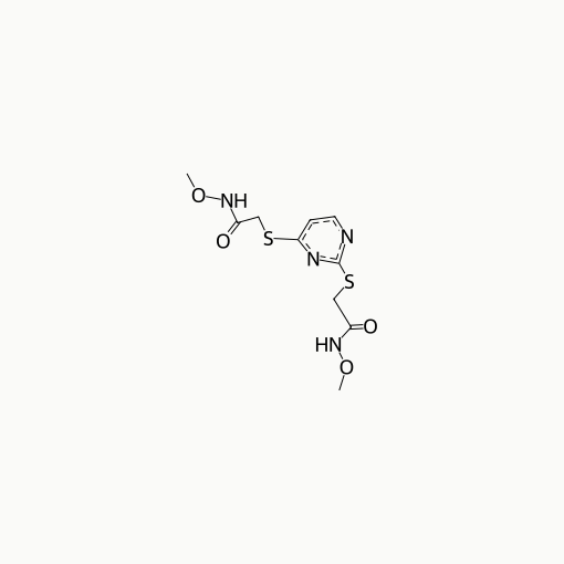 CONC(=O)CSc1ccnc(SCC(=O)NOC)n1